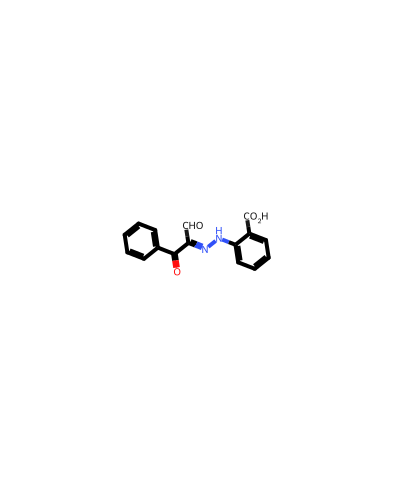 O=C/C(=N\Nc1ccccc1C(=O)O)C(=O)c1ccccc1